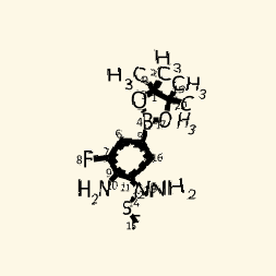 CC1(C)OB(c2cc(F)c(N)c(N(N)SF)c2)OC1(C)C